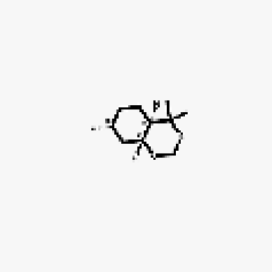 C[C@@H]1CC[C@@H]2[C@@H](C1)OCSC2(C)C